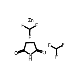 FC(F)F.FC(F)F.O=C1CCC(=O)N1.[Zn]